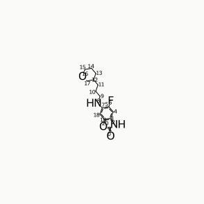 O=c1[nH]c2cc(F)c(NCCCC3CCCOC3)cc2o1